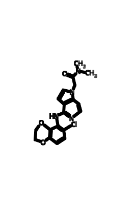 CN(C)C(=O)Cn1ccc2c(Nc3c(Cl)ccc4c3OCCO4)nccc21